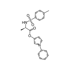 Cc1ccc(S(=O)(=O)N[C@H](C)C(=O)Oc2ccn(-c3ccccc3)c2)cc1